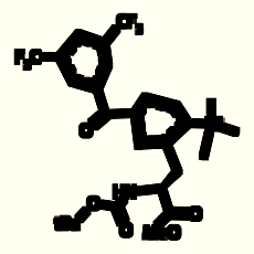 COC(=O)[C@H](Cc1cc(C(=O)c2cc(C(F)(F)F)cc(C(F)(F)F)c2)ccc1[N+](C)(C)C)NC(=O)OC(C)(C)C